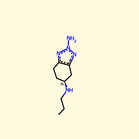 CCCN[C@H]1CCc2nn(N)nc2C1